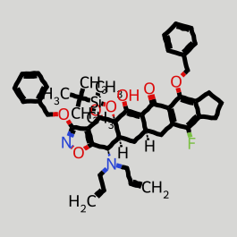 C=CCN(CC=C)[C@@H]1c2onc(OCc3ccccc3)c2C(=O)[C@@]2(O[Si](C)(C)C(C)(C)C)C(O)=C3C(=O)c4c(c(F)c5c(c4OCc4ccccc4)CCC5)C[C@H]3C[C@@H]12